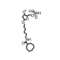 COC1CC(OCCCCCCNC(=O)C2CCCCCCC2)OC1COP(=O)(O)O